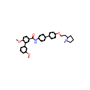 COc1cccc(-c2cc(C(=O)Nc3ccc(-c4ccc(OCCC5CCCN5C)cc4)cc3)ccc2OC)c1